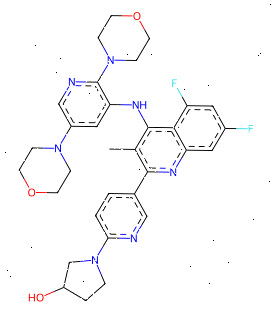 Cc1c(-c2ccc(N3CCC(O)C3)nc2)nc2cc(F)cc(F)c2c1Nc1cc(N2CCOCC2)cnc1N1CCOCC1